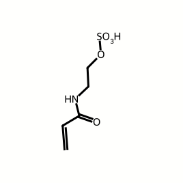 C=CC(=O)NCCOS(=O)(=O)O